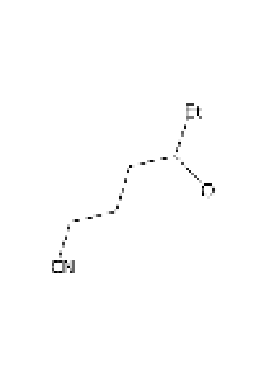 CCC([O])CCCC#N